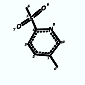 Cc1ccc(S(C)(=O)=O)nc1